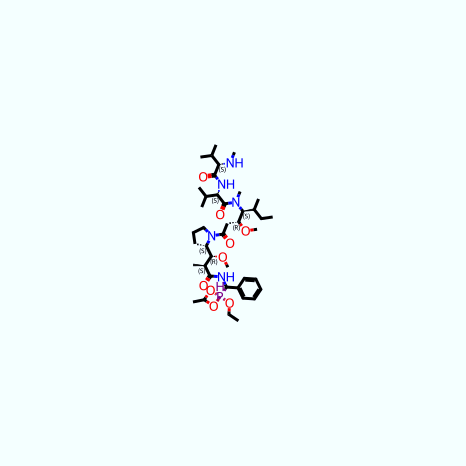 CCO[PH]1(C(NC(=O)[C@@H](C)[C@@H](OC)[C@@H]2CCCN2C(=O)C[C@@H](OC)[C@H](C(C)CC)N(C)C(=O)[C@@H](NC(=O)[C@@H](NC)C(C)C)C(C)C)c2ccccc2)OC(C)O1